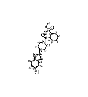 CCS(=O)(=O)c1ccccc1C(=O)N1CCN(c2nc3ccc(Cl)cc3s2)CC1